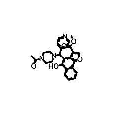 COC(=O)c1coc2c1c(C(c1ccncc1)N1CCN(C(C)=O)CC1)c(O)c1ccccc12